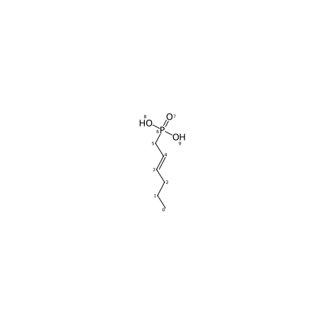 CCCC=CCP(=O)(O)O